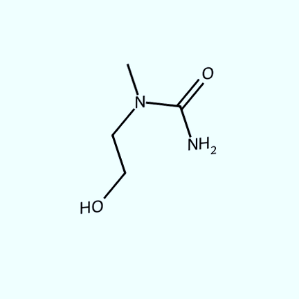 CN(CCO)C(N)=O